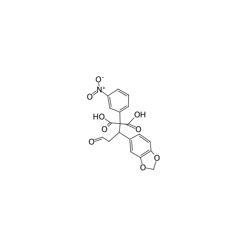 O=CCC(c1ccc2c(c1)OCO2)C(C(=O)O)(C(=O)O)c1cccc([N+](=O)[O-])c1